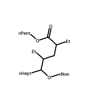 CCCCCCCCCOC(CCCCCCC)C(CC)CC(CC)C(=O)OCCCCC